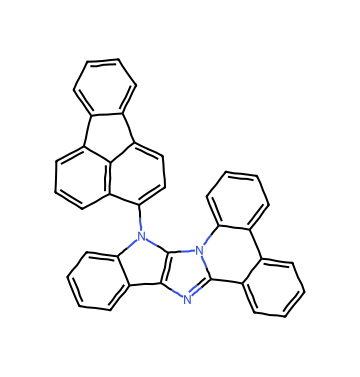 c1ccc2c(c1)-c1cccc3c(-n4c5ccccc5c5nc6c7ccccc7c7ccccc7n6c54)ccc-2c13